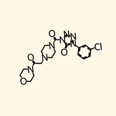 O=C(CN1CCN(C(=O)n2nnn(-c3cccc(Cl)c3)c2=O)CC1)N1CCOCC1